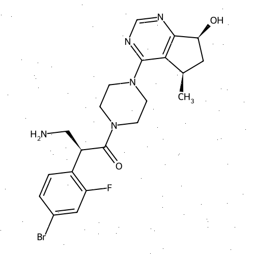 C[C@@H]1C[C@H](O)c2ncnc(N3CCN(C(=O)[C@H](CN)c4ccc(Br)cc4F)CC3)c21